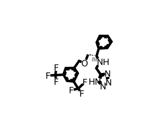 FC(F)(F)c1cc(COC[C@@H](NCc2nnn[nH]2)c2ccccc2)cc(C(F)(F)F)c1